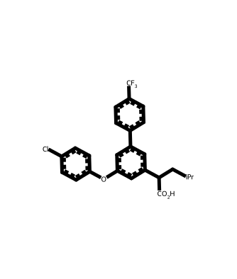 CC(C)CC(C(=O)O)c1cc(Oc2ccc(Cl)cc2)cc(-c2ccc(C(F)(F)F)cc2)c1